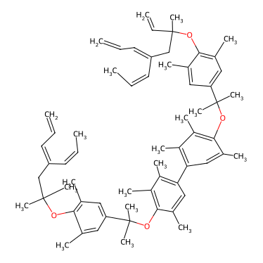 C=C/C=C(\C=C/C)CC(C)(C)Oc1c(C)cc(C(C)(C)Oc2c(C)cc(-c3cc(C)c(OC(C)(C)c4cc(C)c(OC(C)(C=C)CC(/C=C\C)=C/C=C)c(C)c4)c(C)c3C)c(C)c2C)cc1C